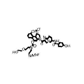 CNCCN(CCOCCO)C(=O)Oc1cc2c(c3c(C)cccc13)[C@H](CCl)CN2C(=O)c1cn2cc(NC(=O)c3ccc(O)cc3)ccc2n1